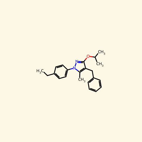 CCc1ccc(-n2nc(OC(C)C)c(Cc3ccccc3)c2C)cc1